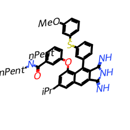 CCCCCN(CCCCC)C(=O)c1cccc(Oc2cc(C(C)C)cc3cc4c(c(-c5cccc(Sc6cccc(OC)c6)c5)c23)C(=N)NC4=N)c1